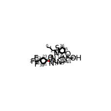 CCCc1nc2cc(OC([C@@H](C)O)N3CCN(Cc4noc(-c5ccc(C(F)(F)F)cc5)n4)CC3)ccc2s1